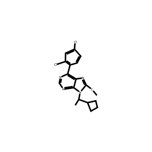 CCc1nc2c(-c3ccc(Cl)cc3Cl)ncnc2n1C(C)C1CCC1